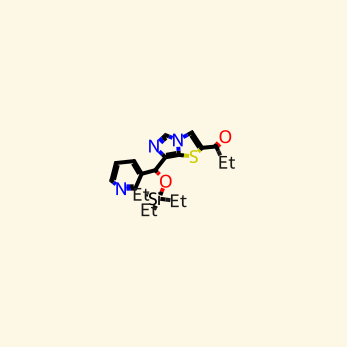 CCC(=O)c1cn2cnc(C(O[Si](CC)(CC)CC)c3cccnc3)c2s1